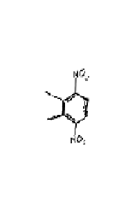 Cc1c([N+](=O)[O-])ccc([N+](=O)[O-])c1C